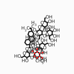 C=C(C)[C@]1(OC2OC(CO)C(O)C(OC3OC(CO)C(O)C(O)C3O)C2OC2OC(CO)C(O)CC2O)CC[C@@H]2[C@@](C)(CC[C@H]3[C@@]2(C)CCC[C@@]3(C)C(=O)OC2OC(CO)C(O)C(OC3OC(CO)C(O)C(O)C3O)C2OC2OC(C)C(O)C(OC3OC(CO)C(O)C(O)C3O)C2O)C1